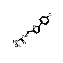 CNC(=O)O/N=C/c1ccc(-c2ccc(Cl)cc2)o1